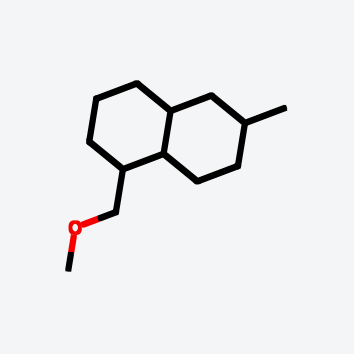 COCC1CCCC2CC(C)CCC12